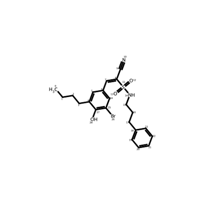 CCCCc1cc(C=C(C#N)S(=O)(=O)NCCCc2ccccc2)cc(Br)c1O